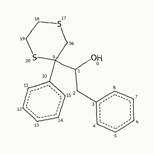 OC(Cc1ccccc1)C1(c2ccccc2)CSCCS1